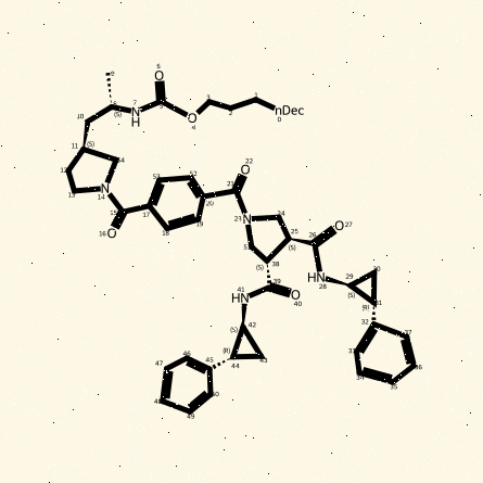 CCCCCCCCCCCCCOC(=O)N[C@@H](C)C[C@@H]1CCN(C(=O)c2ccc(C(=O)N3C[C@@H](C(=O)N[C@H]4C[C@@H]4c4ccccc4)[C@H](C(=O)N[C@H]4C[C@@H]4c4ccccc4)C3)cc2)C1